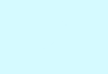 C1CO1.CCCC